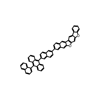 c1ccc2c(-c3c4ccccc4c(-c4ccc5cc(-c6ccc7cc8c(cc7c6)oc6cc7oc9ccccc9c7cc68)ccc5c4)c4ccccc34)cccc2c1